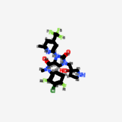 Cc1cc(C(F)(F)F)cc(N2C(=O)N(CC3(O)CCNC3)CC2C(=O)N(C)c2ccc(F)c(Cl)c2F)n1